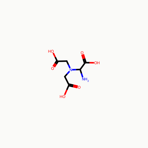 NC(C(=O)O)N(CC(=O)O)CC(=O)O